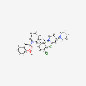 COc1ccccc1CC(=O)N1CCCC[C@](CCN2CCC(N3CCCCC3)CC2)(c2ccc(Cl)c(Cl)c2)C1